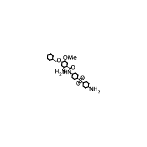 COc1cc(C(=O)Nc2ccc(S(=O)(=O)c3ccc(N)cc3)cc2)c(N)cc1OCc1ccccc1